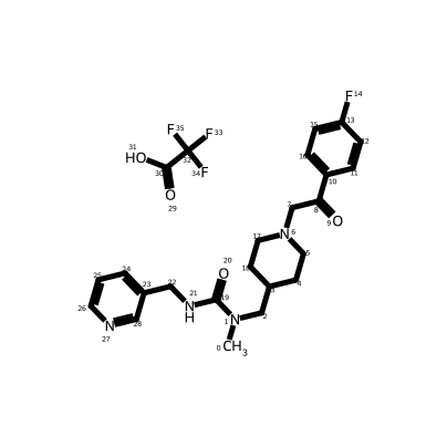 CN(CC1CCN(CC(=O)c2ccc(F)cc2)CC1)C(=O)NCc1cccnc1.O=C(O)C(F)(F)F